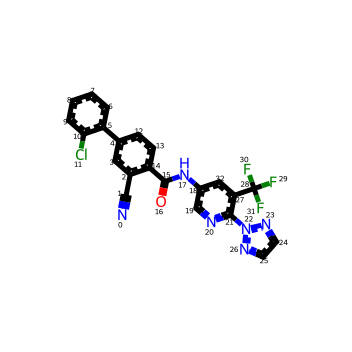 N#Cc1cc(-c2ccccc2Cl)ccc1C(=O)Nc1cnc(-n2nccn2)c(C(F)(F)F)c1